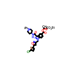 CCOC(=O)OC(C)OC(=O)c1ccc2c(c1)c(C(=O)NC1CCN(C(C)C)CC1)nn2Cc1cc(-c2ccc(Cl)s2)on1